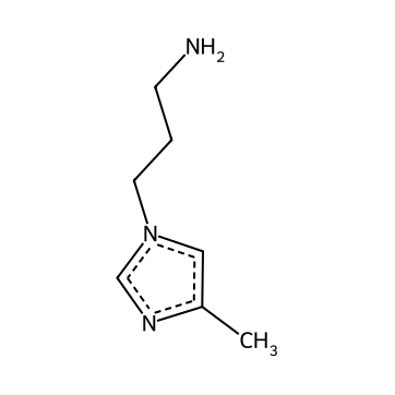 Cc1cn(CCCN)cn1